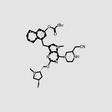 CN1C[C@H](F)C[C@H]1COc1nc(N2CCNC(CC#N)C2)c2c(n1)c(Cc1cc(OC(=O)C(C)(C)C)cc3ccccc13)cn2C